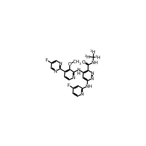 [2H]C([2H])([2H])NC(=O)c1nnc(Nc2cc(F)ccn2)cc1Nc1nccc(-c2ncc(F)cn2)c1OC